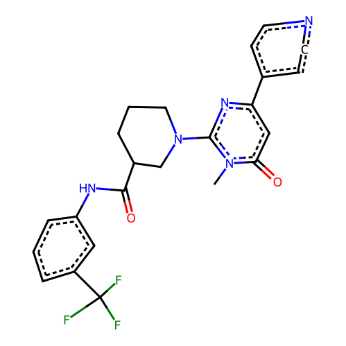 Cn1c(N2CCCC(C(=O)Nc3cccc(C(F)(F)F)c3)C2)nc(-c2ccncc2)cc1=O